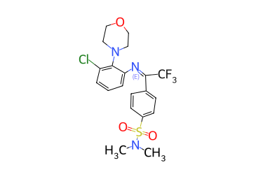 CN(C)S(=O)(=O)c1ccc(/C(=N\c2cccc(Cl)c2N2CCOCC2)C(F)(F)F)cc1